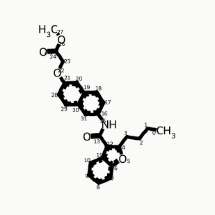 CCCCc1oc2ccccc2c1C(=O)Nc1ccc2cc(OCC(=O)OC)ccc2c1